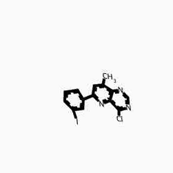 Cc1cc(-c2cccc(I)c2)nc2c(Cl)ncnc12